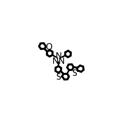 c1ccc(-c2nc(-c3ccc4c(c3)oc3ccccc34)nc(-c3ccc4sc5cccc(-c6cccc7c6sc6ccccc67)c5c4c3)n2)cc1